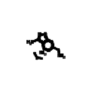 B.CSC.NCc1ccc2c(N)noc2c1